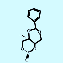 O=[S@@]1OC[C@H]2OC(c3ccccc3)OCC2O1